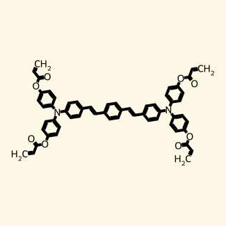 C=CC(=O)Oc1ccc(N(c2ccc(C=Cc3ccc(C=Cc4ccc(N(c5ccc(OC(=O)C=C)cc5)c5ccc(OC(=O)C=C)cc5)cc4)cc3)cc2)c2ccc(OC(=O)C=C)cc2)cc1